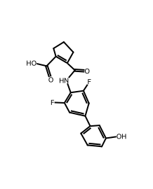 O=C(O)C1=C(C(=O)Nc2c(F)cc(-c3cccc(O)c3)cc2F)CCC1